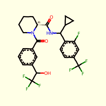 O=C(NC(c1ccc(C(F)(F)F)cc1F)C1CC1)[C@H]1CCCCN1C(=O)c1cccc(C(O)C(F)(F)F)c1